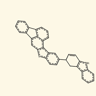 C1=CC(c2ccc3sc4cc5c6c(cccc6c4c3c2)-c2ccccc2-5)Cc2c1[nH]c1ccccc21